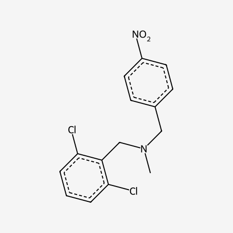 CN(Cc1ccc([N+](=O)[O-])cc1)Cc1c(Cl)cccc1Cl